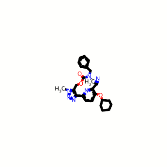 CN(Cc1ccccc1)C(=O)OCc1c(-c2ccc(OC3CCCCC3)c(C#N)n2)nnn1C